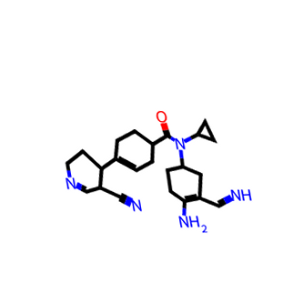 N#CC1C=NCCC1C1=CCC(C(=O)N(C2CC2)C2CCC(N)=C(C=N)C2)CC1